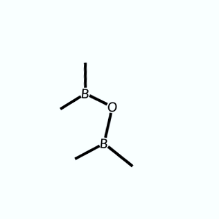 CB(C)OB(C)C